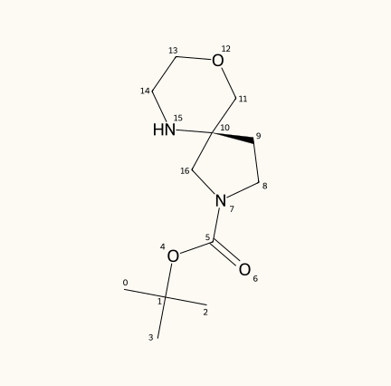 CC(C)(C)OC(=O)N1CC[C@@]2(COCCN2)C1